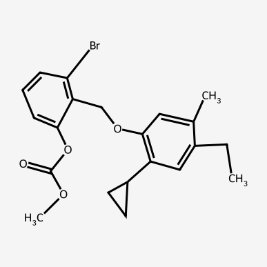 CCc1cc(C2CC2)c(OCc2c(Br)cccc2OC(=O)OC)cc1C